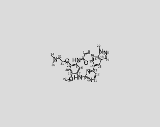 C=CC(=O)Nc1cc(Nc2nccc(-c3ccc4c(cnn4C)c3)n2)c(OC)cc1OCCN(C)C